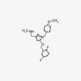 CNCc1cc(OCc2cc(F)ccc2F)n(Cc2ccc(OC)cc2)n1